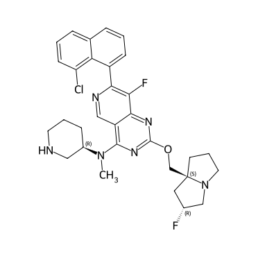 CN(c1nc(OC[C@@]23CCCN2C[C@H](F)C3)nc2c(F)c(-c3cccc4cccc(Cl)c34)ncc12)[C@@H]1CCCNC1